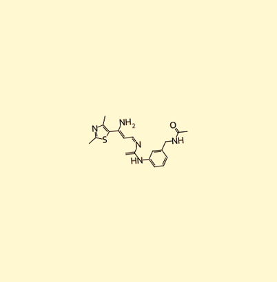 C=C(/N=C\C=C(/N)c1sc(C)nc1C)Nc1cccc(CNC(C)=O)c1